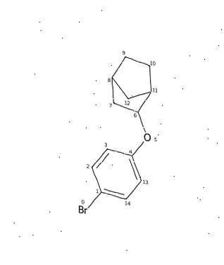 Brc1ccc(OC2CC3CCC2C3)cc1